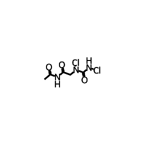 CC(=O)NC(=O)CN(Cl)C(=O)NCl